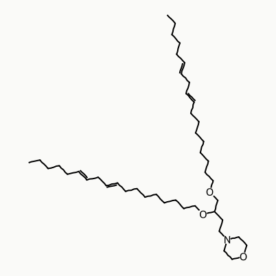 CCCCCC=CCC=CCCCCCCCCOCC(CCN1CCOCC1)OCCCCCCCCC=CCC=CCCCCC